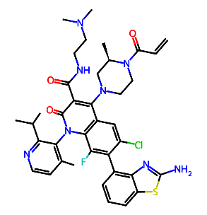 C=CC(=O)N1CCN(c2c(C(=O)NCCN(C)C)c(=O)n(-c3c(C)ccnc3C(C)C)c3c(F)c(-c4cccc5sc(N)nc45)c(Cl)cc23)C[C@H]1C